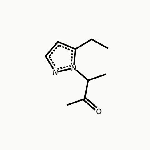 CCc1ccnn1C(C)C(C)=O